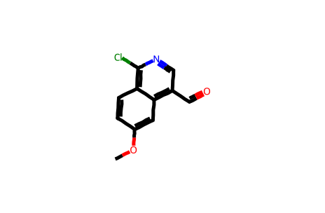 COc1ccc2c(Cl)ncc(C=O)c2c1